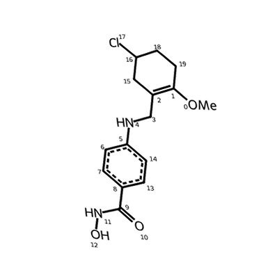 COC1=C(CNc2ccc(C(=O)NO)cc2)CC(Cl)CC1